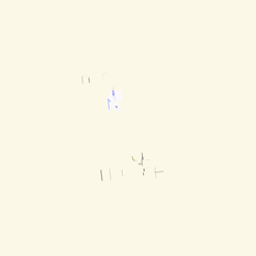 CCC/C=N/CCCS[Si](C)(C)C